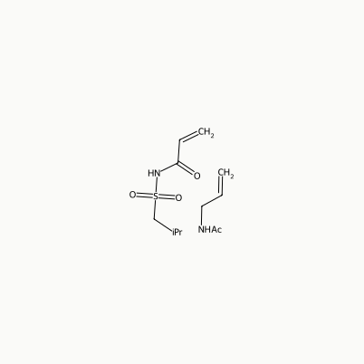 C=CC(=O)NS(=O)(=O)CC(C)C.C=CCNC(C)=O